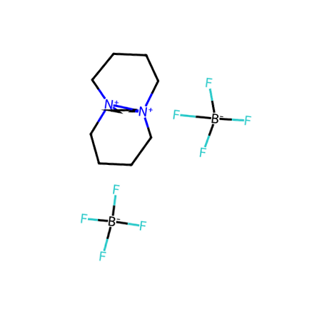 C1CC[N+]23CCCC[N+]2(C1)CCCC3.F[B-](F)(F)F.F[B-](F)(F)F